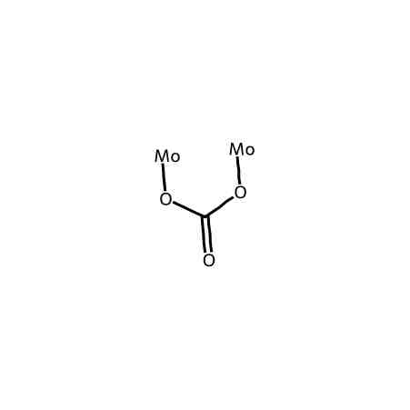 O=C([O][Mo])[O][Mo]